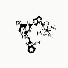 CC(C)(C)OC(=O)N1CCC2CN(c3nc(NCc4nc5ccccc5[nH]4)n4ncc(Br)c4n3)CC21